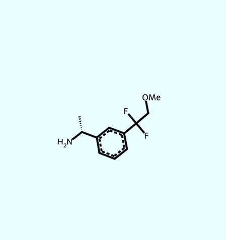 COCC(F)(F)c1cccc([C@@H](C)N)c1